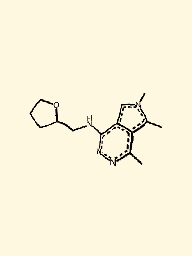 Cc1nnc(NCC2CCCO2)c2cn(C)c(C)c12